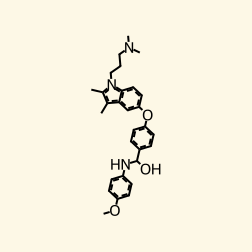 COc1ccc(NC(O)c2ccc(Oc3ccc4c(c3)c(C)c(C)n4CCCN(C)C)cc2)cc1